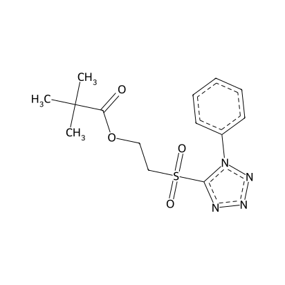 CC(C)(C)C(=O)OCCS(=O)(=O)c1nnnn1-c1ccccc1